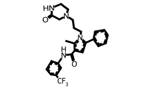 Cc1c(C(=O)Nc2cccc(C(F)(F)F)c2)cc(-c2ccccc2)n1CCCN1CCNC(=O)C1